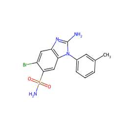 Cc1cccc(-n2c(N)nc3cc(Br)c(S(N)(=O)=O)cc32)c1